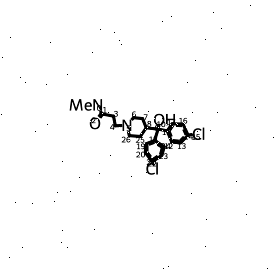 CNC(=O)CCN1CCC(C(O)(c2ccc(Cl)cc2)c2ccc(Cl)cc2)CC1